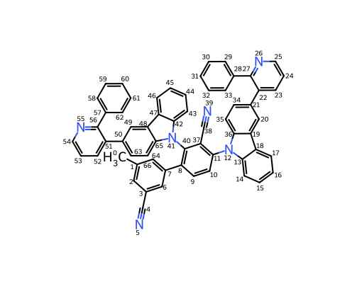 Cc1cc(C#N)cc(-c2ccc(-n3c4ccccc4c4cc(-c5cccnc5-c5ccccc5)ccc43)c(C#N)c2-n2c3ccccc3c3cc(-c4cccnc4-c4ccccc4)ccc32)c1